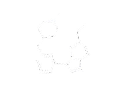 CN1CCC(Cc2cccc(-c3cnc4ccc(C=O)nn34)c2)CC1